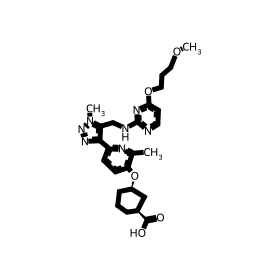 COCCCOc1ccnc(NCc2c(-c3ccc(O[C@H]4CCC[C@H](C(=O)O)C4)c(C)n3)nnn2C)n1